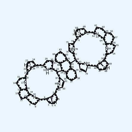 Oc1c2cccc1c1ccc3ccc4ccc(nc4c3n1)c1cccc(c1O)c1ccc([nH]1)c(-c1c3ccccc3c(-c3c4nc(c5cccc(c5O)c5ccc6ccc7ccc(nc7c6n5)c5cccc(c5O)c5ccc3[nH]5)C=C4)c3ccccc13)c1nc2C=C1